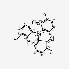 Cc1ccc[c]([Bi]([c]2cccc(C)c2Cl)[c]2cccc(C)c2Cl)c1Cl